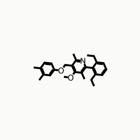 CCc1cccc(CC)c1-c1nc(C)c(COc2ccc(C)c(C)c2)c(OC)c1C